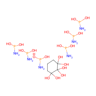 NP(O)O.NP(O)O.NP(O)O.NP(O)O.NP(O)O.NP(O)O.OC1(O)CCCC(O)(O)C1(O)O